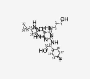 OCCCNc1nc(NC(CO)c2ccc(F)cc2)nc(Nc2cc(C3CC3)[nH]n2)c1Cl